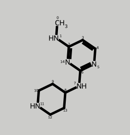 CNc1ccnc(NC2CCNCC2)n1